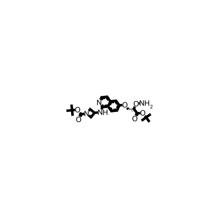 CC(C)(C)OC(=O)[C@H](COc1ccc2c(NC3CN(C(=O)OC(C)(C)C)C3)nccc2c1)ON